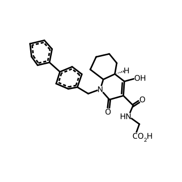 O=C(O)CNC(=O)C1=C(O)[C@@H]2CCCCC2N(Cc2ccc(-c3ccccc3)cc2)C1=O